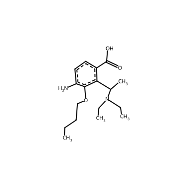 CCCCOc1c(N)ccc(C(=O)O)c1C(C)N(CC)CC